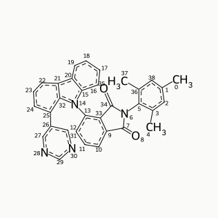 Cc1cc(C)c(N2C(=O)c3cccc(-n4c5ccccc5c5cccc(-c6cncnc6)c54)c3C2=O)c(C)c1